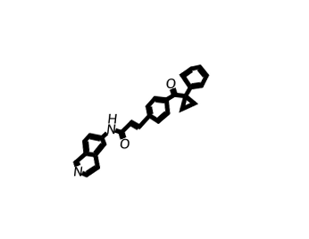 O=C(C=Cc1ccc(C(=O)C2(c3ccccc3)CC2)cc1)Nc1ccc2cnccc2c1